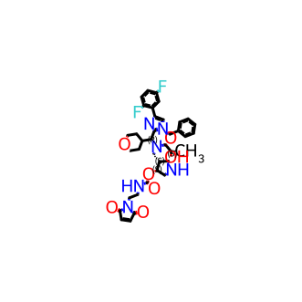 C[C@H](O)C(=O)N(C[C@@H]1CNC[C@H]1OC(=O)NCCN1C(=O)C=CC1=O)[C@@H](c1nc(-c2cc(F)ccc2F)cn1Cc1ccccc1)C1CCOCC1